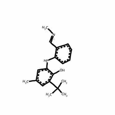 C/N=C/c1ccccc1Pc1cc(C)cc(C(C)(C)C)c1O